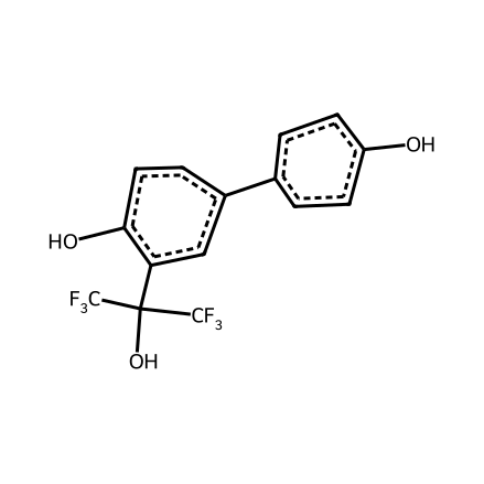 Oc1ccc(-c2ccc(O)c(C(O)(C(F)(F)F)C(F)(F)F)c2)cc1